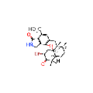 C[C@H]1CC[C@H]2C(C)(C)C(=O)C(Br)C[C@]23Oc2c(cc(C(=O)O)c4c2CNC4=O)C[C@]13C